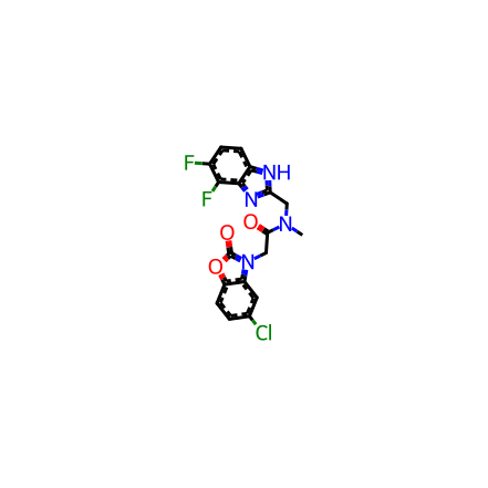 CN(Cc1nc2c(F)c(F)ccc2[nH]1)C(=O)Cn1c(=O)oc2ccc(Cl)cc21